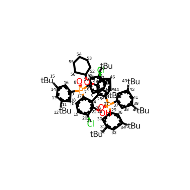 CC(C)(C)c1cc(C(C)(C)C)cc(P(=O)(c2cc(C(C)(C)C)cc(C(C)(C)C)c2)c2ccc(Cl)c(O)c2-c2c(P(=O)(c3cc(C(C)(C)C)cc(C(C)(C)C)c3)c3cc(C(C)(C)C)cc(C(C)(C)C)c3)ccc(Cl)c2OC2CCCCC2)c1